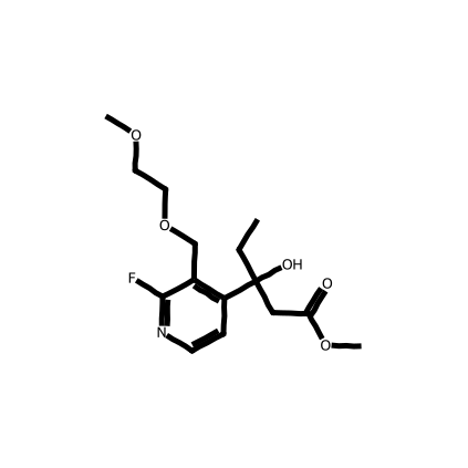 CCC(O)(CC(=O)OC)c1ccnc(F)c1COCCOC